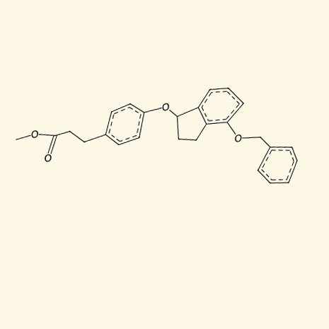 COC(=O)CCc1ccc(OC2CCc3c(OCc4ccccc4)cccc32)cc1